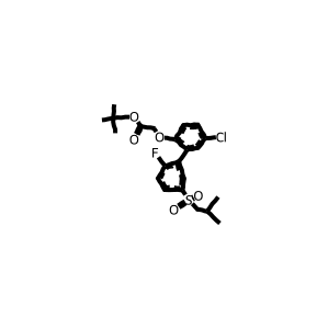 CC(C)CS(=O)(=O)c1ccc(F)c(-c2cc(Cl)ccc2OCC(=O)OC(C)(C)C)c1